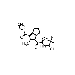 CCOC(=O)c1c(C)c(C(=O)C(=O)NC(C)C(F)(F)F)n2c1CCC2